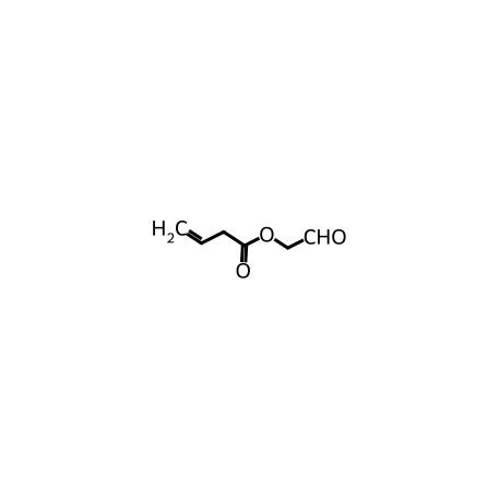 C=CCC(=O)OCC=O